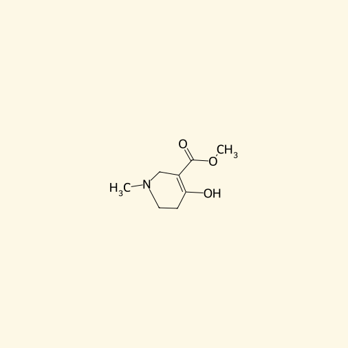 COC(=O)C1=C(O)CCN(C)C1